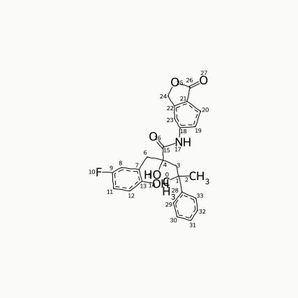 CC(C)(CC(O)(Cc1cc(F)ccc1O)C(=O)Nc1ccc2c(c1)COC2=O)c1ccccc1